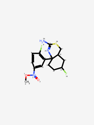 CO[N+](=O)c1ccc(F)c(C23CCC(F)CC2CSC(N)=N3)c1